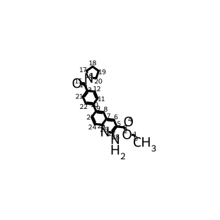 CCOC(=O)c1cc2cc(-c3ccc(C(=O)N4CCCC4)cc3)ccc2nc1N